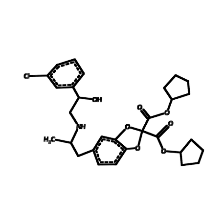 CC(Cc1ccc2c(c1)OC(C(=O)OC1CCCC1)(C(=O)OC1CCCC1)O2)NCC(O)c1cccc(Cl)c1